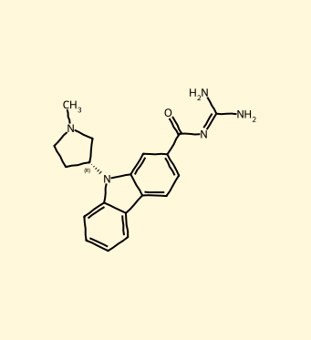 CN1CC[C@@H](n2c3ccccc3c3ccc(C(=O)N=C(N)N)cc32)C1